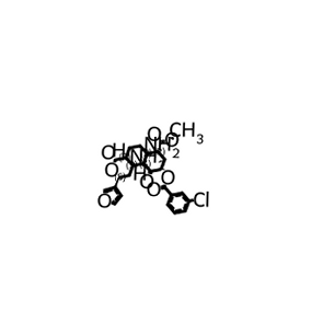 COC(=O)[C@@H]1CC(OC(=O)c2cccc(Cl)c2)C(=O)[C@H]2[C@@]1(N)CC[C@H]1C(=O)O[C@H](c3ccoc3)C[C@]21N